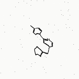 Cc1ccc(-c2cc(CC3CCCC3)ccn2)cc1